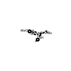 COc1ccc(S(=O)(=O)N2CCN(c3nc(Nc4ccc(C)cc4)cc(OCCO[Si](C)(C)C(C)(C)C)n3)CC2)cc1